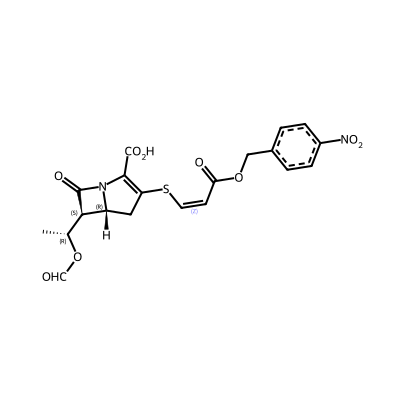 C[C@@H](OC=O)[C@H]1C(=O)N2C(C(=O)O)=C(S/C=C\C(=O)OCc3ccc([N+](=O)[O-])cc3)C[C@H]12